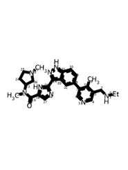 CCNCc1cncc(-c2ccc3[nH]nc(-c4ncc(C(=O)N(C)C5CCN(C)C5)[nH]4)c3c2)c1C